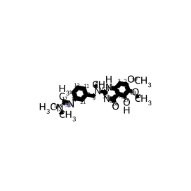 COc1cc2[nH]c(N(C)Cc3cccc(/N=C(\C)N(C)C)c3)nc(=O)c2c(O)c1OC